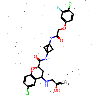 C=C(O)CNC1CC(C(=O)NC23CC(NC(=O)COc4ccc(Cl)c(F)c4)(C2)C3)Oc2ccc(Cl)cc21